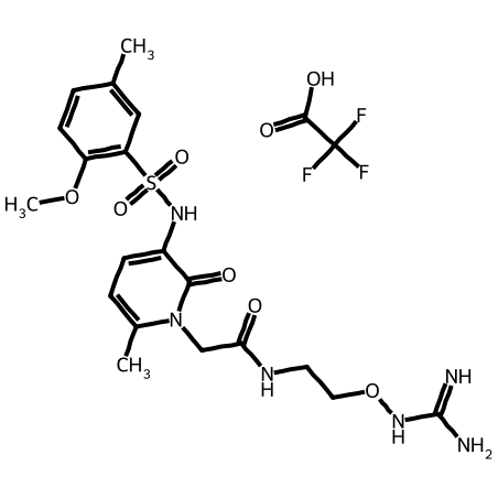 COc1ccc(C)cc1S(=O)(=O)Nc1ccc(C)n(CC(=O)NCCONC(=N)N)c1=O.O=C(O)C(F)(F)F